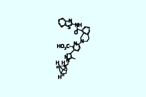 Cc1c(-c2ccc(N3CCc4cccc(C(=O)Nc5nc6ccccc6s5)c4C3)nc2C(=O)O)cnn1C[C@@H]1CC[C@H]2C[C@H]1C2(C)C